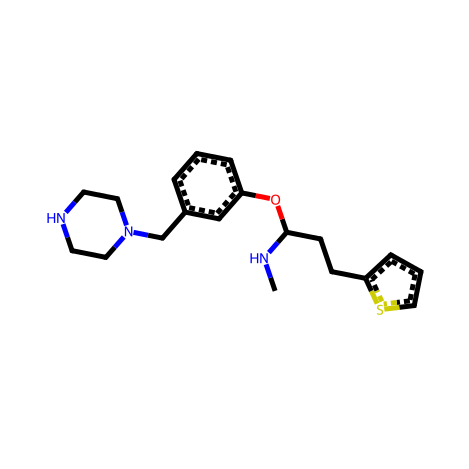 CNC(CCc1cccs1)Oc1cccc(CN2CCNCC2)c1